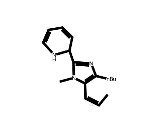 C/C=C\c1c(CCCC)nc(C2C=CC=CN2)n1C